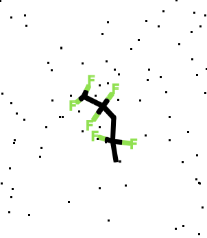 [CH2]C(F)(F)CC(F)(F)C(F)F